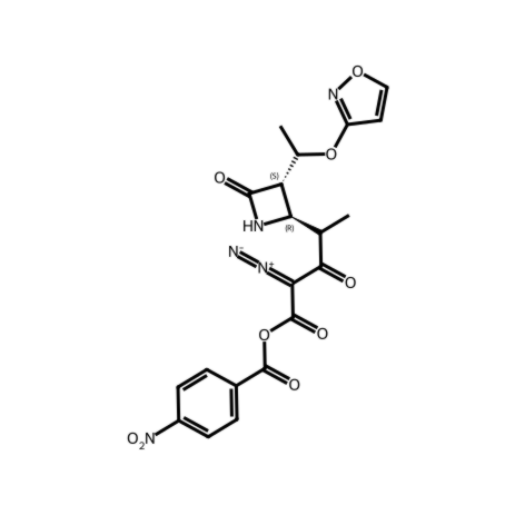 CC(C(=O)C(=[N+]=[N-])C(=O)OC(=O)c1ccc([N+](=O)[O-])cc1)[C@H]1NC(=O)[C@@H]1C(C)Oc1ccon1